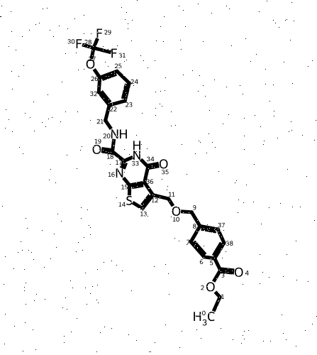 CCOC(=O)c1ccc(COCc2csc3nc(C(=O)NCc4cccc(OC(F)(F)F)c4)[nH]c(=O)c23)cc1